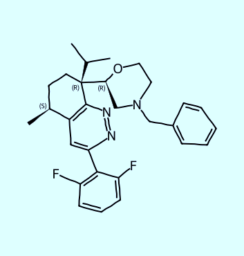 CC(C)[C@]1([C@@H]2CN(Cc3ccccc3)CCO2)CC[C@H](C)c2cc(-c3c(F)cccc3F)nnc21